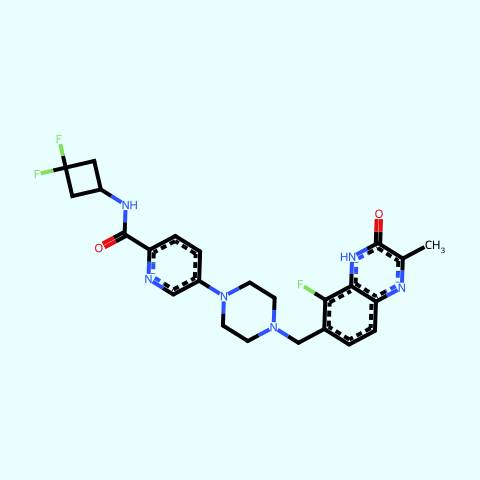 Cc1nc2ccc(CN3CCN(c4ccc(C(=O)NC5CC(F)(F)C5)nc4)CC3)c(F)c2[nH]c1=O